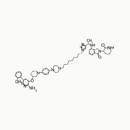 CC(Nc1cccc2c1CN(C1CCCNC1=O)C2=O)c1cn(CCCCCCCCCN2CCN(c3ccc(N4CCCC(Oc5cc(-c6ccccc6O)nnc5N)C4)cc3)CC2)nn1